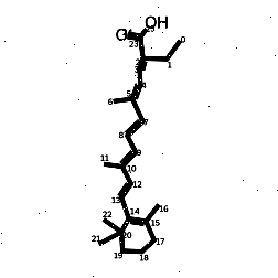 CC\C(=C/C=C(C)/C=C/C=C(C)/C=C/C1=C(C)CCCC1(C)C)C(=O)O